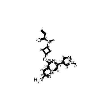 C=CC(=O)N(C)[C@H]1C[C@@H](Oc2nc(-c3cnn(C)c3)cn3nc(N)cc23)C1